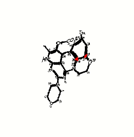 CCOC(=O)OC1=C(C)Nc2nc(N3CCOCC3)nc(N3CCOCC3)c2C1c1cccc(C#N)c1